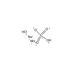 Cl.N.O=S(=O)([O-])O.[Na+]